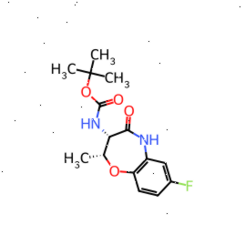 C[C@H]1Oc2ccc(F)cc2NC(=O)[C@H]1NC(=O)OC(C)(C)C